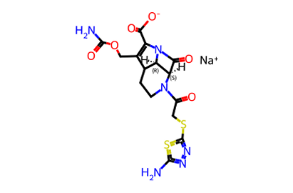 NC(=O)OCC1=C(C(=O)[O-])N2C(=O)[C@@H]3[C@H]2C1CCN3C(=O)CSc1nnc(N)s1.[Na+]